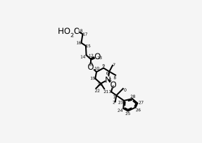 CC(C)(CON1C(C)(C)CC(OC(=O)CCCCC(=O)O)CC1(C)C)c1ccccc1